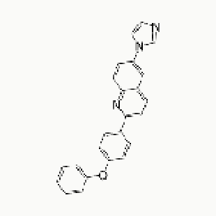 c1ccc(Oc2ccc(-c3ccc4cc(-n5ccnc5)ccc4n3)cc2)cc1